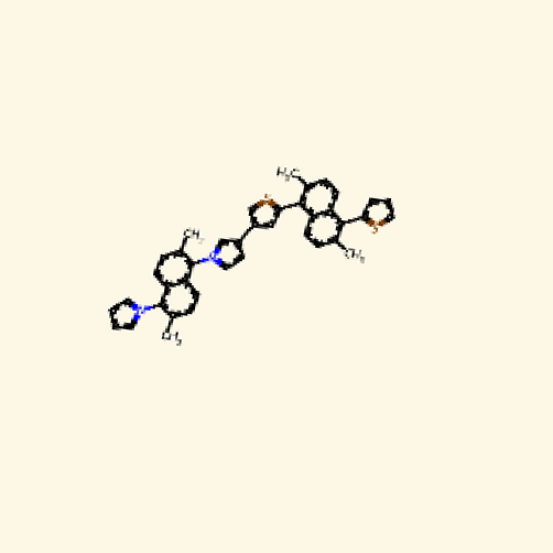 Cc1ccc2c(-c3cc(-c4ccn(-c5c(C)ccc6c(-n7cccc7)c(C)ccc56)c4)cs3)c(C)ccc2c1-c1cccs1